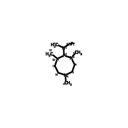 CCCN(C)P1N(C)CCN(C)CCN1C